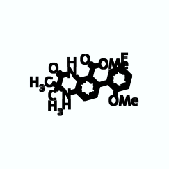 COC(=O)c1c(-c2cc(F)ccc2OC)ccc2c1NC(=O)C(C)(C)N2